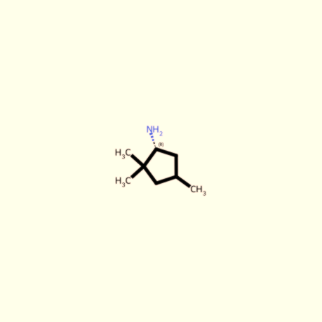 CC1C[C@@H](N)C(C)(C)C1